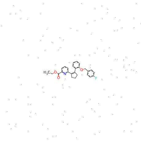 CCOC(=O)c1cccc(C2=C(c3ccccc3OCc3ccc(F)cc3)CCC2)n1